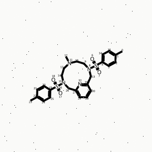 Cc1ccc(S(=O)(=O)N2CCN(C)CCN(S(=O)(=O)c3ccc(C)cc3)Cc3cccc(n3)C2)cc1